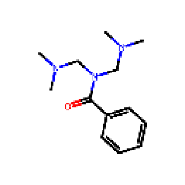 CN(C)CN(CN(C)C)C(=O)c1ccccc1